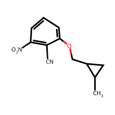 CC1CC1COc1cccc([N+](=O)[O-])c1C#N